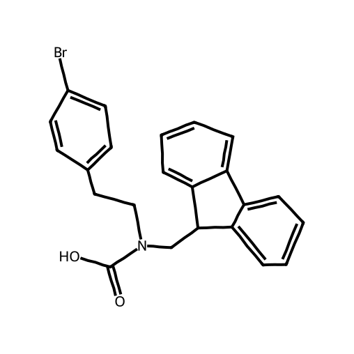 O=C(O)N(CCc1ccc(Br)cc1)CC1c2ccccc2-c2ccccc21